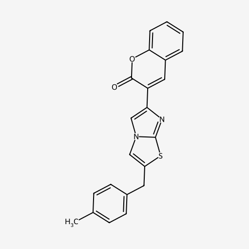 Cc1ccc(Cc2cn3cc(-c4cc5ccccc5oc4=O)nc3s2)cc1